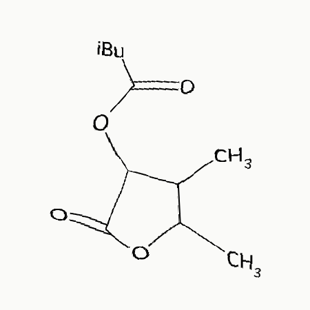 CCC(C)C(=O)OC1C(=O)OC(C)C1C